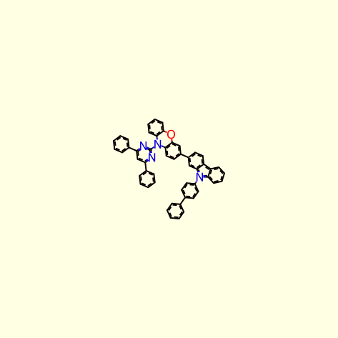 c1ccc(-c2ccc(-n3c4ccccc4c4ccc(-c5ccc6c(c5)Oc5ccccc5N6c5nc(-c6ccccc6)cc(-c6ccccc6)n5)cc43)cc2)cc1